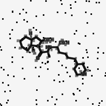 C[C@H](N[C@@H](CCCCC1CCNCC1)C(=O)O)C(=O)N1[C@H](C(=O)O)C[C@@H]2CCCC[C@@H]21